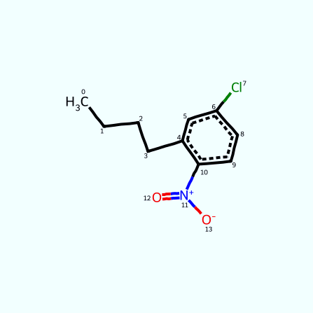 CCCCc1cc(Cl)ccc1[N+](=O)[O-]